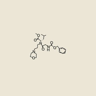 COC(=O)[C@H](CC(C)C)N(CCCN1CCOCC1)C(=O)CNC(=O)OCc1ccccc1